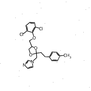 Cc1ccc(CCC2(Cn3ccnc3)OCC(COc3c(Cl)cccc3Cl)O2)cc1